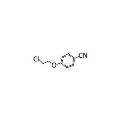 N#Cc1ccc(OCCCl)cc1